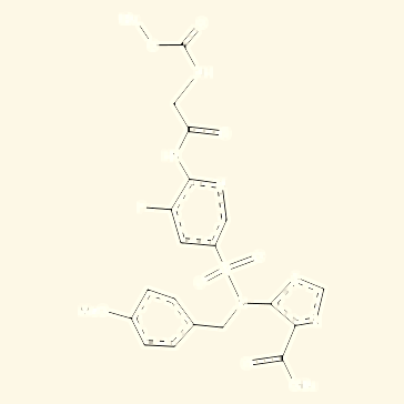 COc1ccc(CN(c2scnc2C(=O)OCC(C)C)S(=O)(=O)c2cnc(NC(=O)CNC(=O)OC(C)(C)C)c(F)c2)cc1